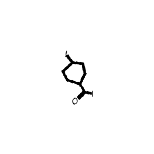 O=C(I)C1CCC(I)CC1